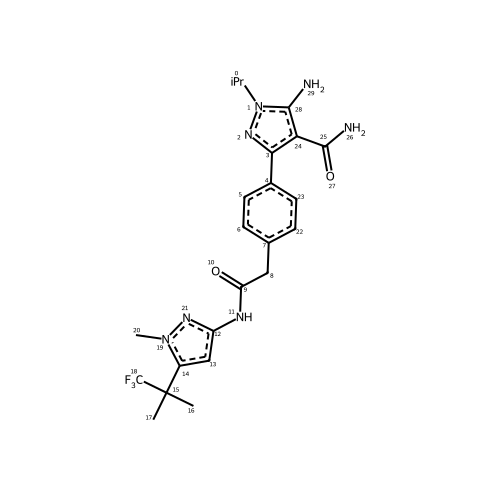 CC(C)n1nc(-c2ccc(CC(=O)Nc3cc(C(C)(C)C(F)(F)F)n(C)n3)cc2)c(C(N)=O)c1N